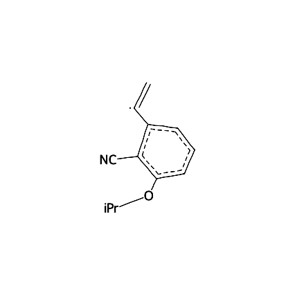 C=[C]c1cccc(OC(C)C)c1C#N